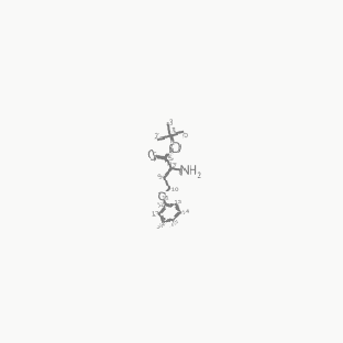 CC(C)(C)OC(=O)C(N)CCOc1c[c]ccc1